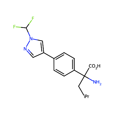 CC(C)CC(N)(C(=O)O)c1ccc(-c2cnn(C(F)F)c2)cc1